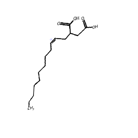 CCCCCCCCC/C=C\CC(CC(=O)O)C(=O)O